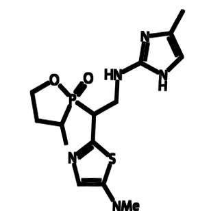 CNc1cnc(C(CNc2nc(C)c[nH]2)P2(=O)OCCC2C)s1